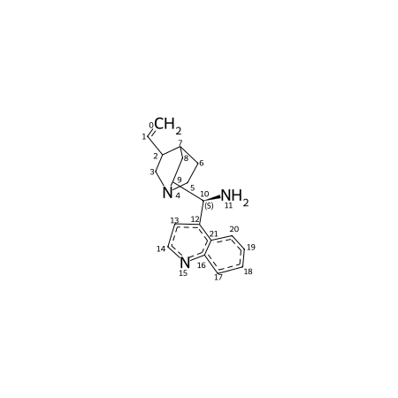 C=CC1CN2CCC1CC2[C@@H](N)c1ccnc2ccccc12